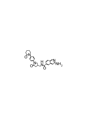 Nc1cc2cc(C(=O)NCC3CC(=O)N(c4ccc(N5CCCCC5=O)cc4)C3)ccc2cn1